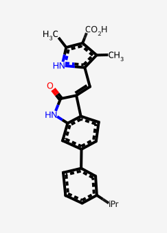 Cc1[nH]c(C=C2C(=O)Nc3cc(-c4cccc(C(C)C)c4)ccc32)c(C)c1C(=O)O